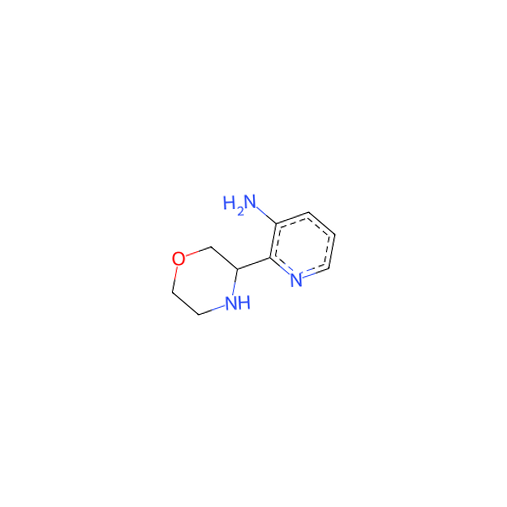 Nc1cccnc1C1COCCN1